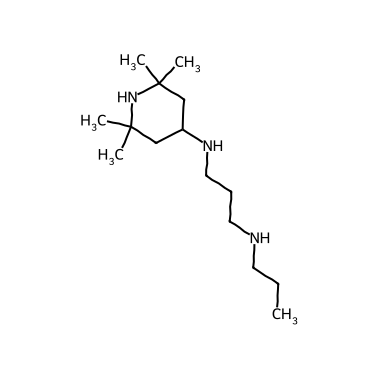 CCCNCCCNC1CC(C)(C)NC(C)(C)C1